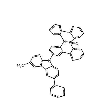 Cc1ccc2c(c1)c1cc(-c3ccccc3)ccc1n2-c1ccc2c(c1)-c1ccccc1P1(=O)c3ccccc3-c3ccccc3N21